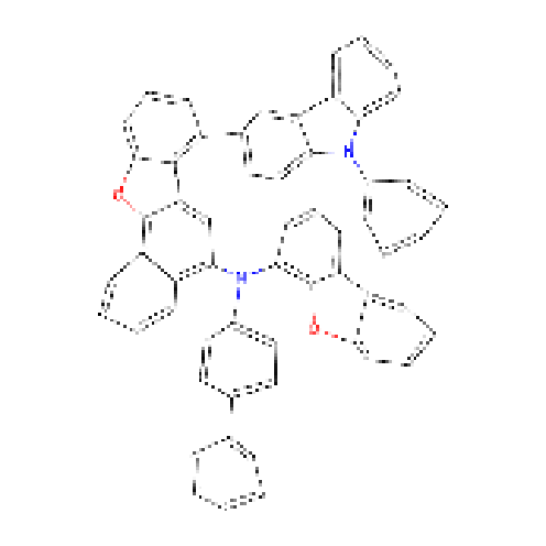 c1ccc(-c2ccc(N(c3cc4c(oc5cccc(-c6ccc7c(c6)c6ccccc6n7-c6ccccc6)c54)c4ccccc34)c3cccc4c3oc3ccccc34)cc2)cc1